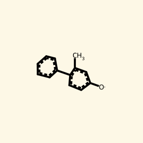 Cc1cc([O])ccc1-c1ccccc1